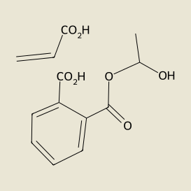 C=CC(=O)O.CC(O)OC(=O)c1ccccc1C(=O)O